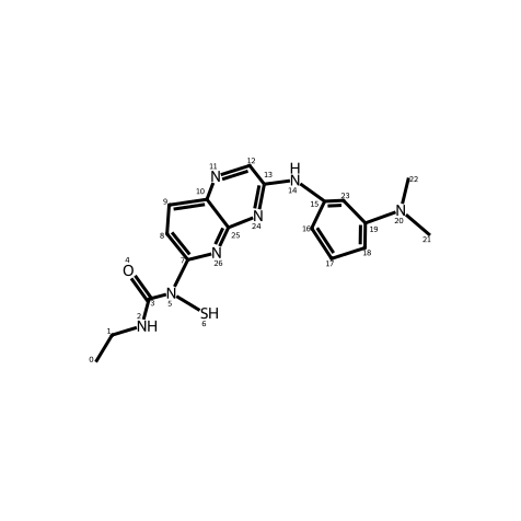 CCNC(=O)N(S)c1ccc2ncc(Nc3cccc(N(C)C)c3)nc2n1